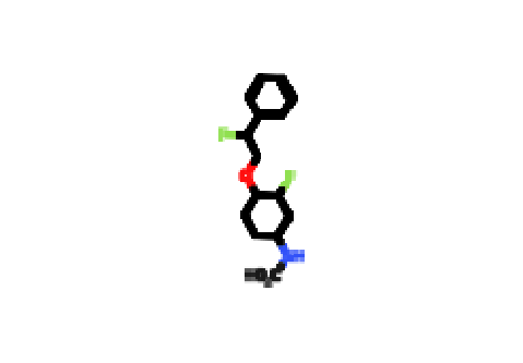 O=C(O)NC1CCC(OCC(F)c2ccccc2)C(F)C1